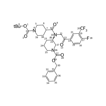 CC(C)(C)OC(=O)N1CCC(C(=O)N(CC(=O)c2ccc(F)c(C(F)(F)F)c2)[C@@H]2CCCN(C(=O)OCc3ccccc3)C2)CC1